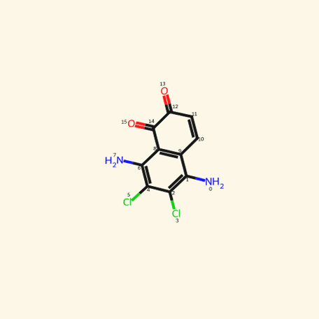 Nc1c(Cl)c(Cl)c(N)c2c1C=CC(=O)C2=O